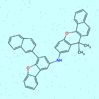 CC1(C)c2cc(Nc3cc(-c4ccc5ccccc5c4)c4oc5ccccc5c4c3)ccc2Oc2c1ccc1ccccc21